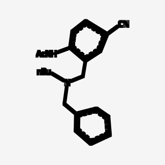 CCCCN(Cc1ccccc1)Cc1cc(C#N)ccc1NC(C)=O